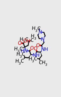 CC(C)C[C@H](NC(=O)CN1CCN(C)CC1)C(=O)N[C@@H](CC(C)C)C(=O)N[C@@](C)(CC(C)C)C(=O)O